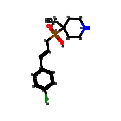 O=C(O)C1(S(=O)(=O)CC=Cc2ccc(F)cc2)CCNCC1